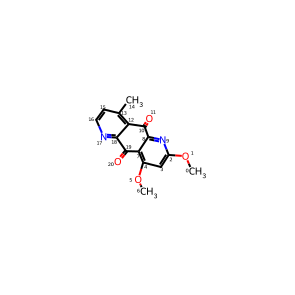 COc1cc(OC)c2c(n1)C(=O)c1c(C)ccnc1C2=O